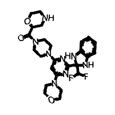 O=C(C1CNCCO1)N1CCN(c2cc(N3CCOCC3)nc(C3(C(F)F)Nc4ccccc4N3)n2)CC1